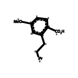 COc1ccc(C(=O)O)c(CCC(C)C)c1